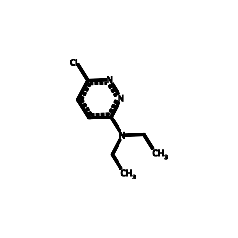 CCN(CC)c1ccc(Cl)nn1